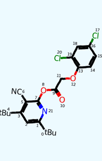 CC(C)(C)c1cc(C(C)(C)C)c(C#N)c(OC(=O)COc2ccc(Cl)cc2Cl)n1